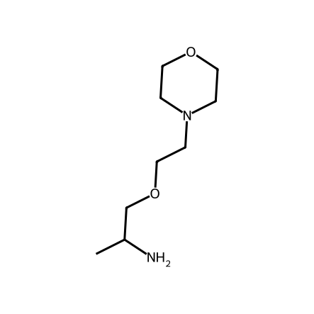 CC(N)COCCN1CCOCC1